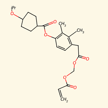 C=CC(=O)OCOC(=O)Cc1ccc(OC(=O)C2CCC(OC(C)C)CC2)c(C)c1C